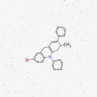 CC1CC2=C(C=C1c1ccccc1)Cc1cc(Br)ccc1N2c1ccccc1